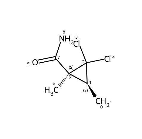 [CH2][C@@H]1C(Cl)(Cl)[C@]1(C)C(N)=O